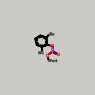 CCCCCO[PH](=O)Oc1c(C(C)(C)C)cccc1C(C)(C)C